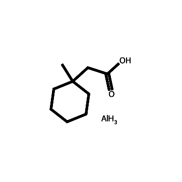 CC1(CC(=O)O)CCCCC1.[AlH3]